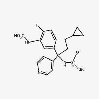 CC(C)(C)[S@@+]([O-])NC(CCC1CC1)(c1ccncc1)c1ccc(F)c(NC(=O)O)c1